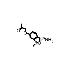 CB1O[C@H](CN)c2ccc(OCC(C)=O)cc21